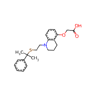 CC(C)(SCCN1CCCc2c(OCC(=O)O)cccc21)c1ccccc1